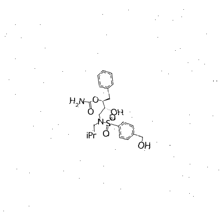 CC(C)CN(C[C@@H](O)[C@H](Cc1ccccc1)OC(N)=O)S(=O)(=O)c1ccc(CO)cc1